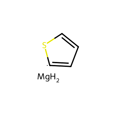 [MgH2].[c]1cccs1